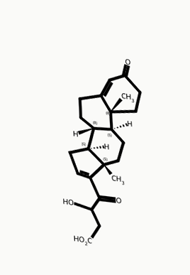 C[C@]12CCC(=O)C=C1CC[C@@H]1[C@@H]2CC[C@]2(C)C(C(=O)C(O)CC(=O)O)=CC[C@@H]12